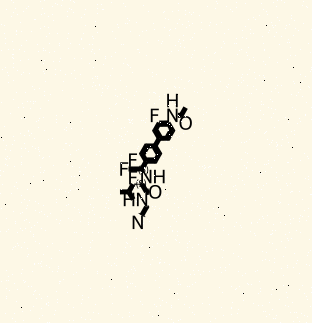 CC(=O)Nc1ccc(-c2ccc([C@H](N[C@@H](CC(C)C)C(=O)NCC#N)C(F)(F)F)cc2)cc1F